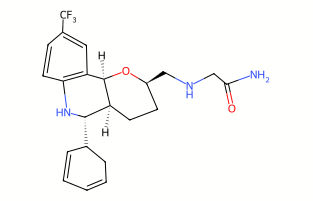 NC(=O)CNC[C@H]1CC[C@@H]2[C@H](O1)c1cc(C(F)(F)F)ccc1N[C@H]2C1C=CC=CC1